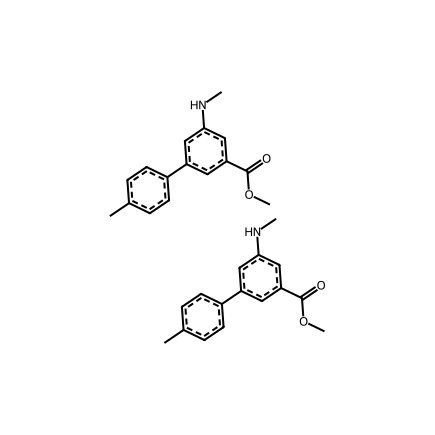 CNc1cc(C(=O)OC)cc(-c2ccc(C)cc2)c1.CNc1cc(C(=O)OC)cc(-c2ccc(C)cc2)c1